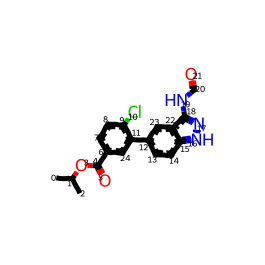 CC(C)OC(=O)c1ccc(Cl)c(-c2ccc3[nH]nc(NC=O)c3c2)c1